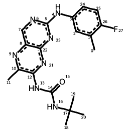 Cc1cc(Nc2ncc3nc(C)c(NC(=O)NC(C)(C)C)nc3n2)ccc1F